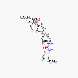 COc1cccc(NC(=O)Nc2ccc(-c3ccc4c(c3)CCC(C)(CC(=O)O)C4=O)cc2F)c1